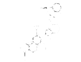 COc1c(-c2cc3c(s2)CCCC3NS(=O)(=O)c2ccccc2C#N)c(C2CC2)cc2c(=O)c(C(=O)O)c[nH]c12